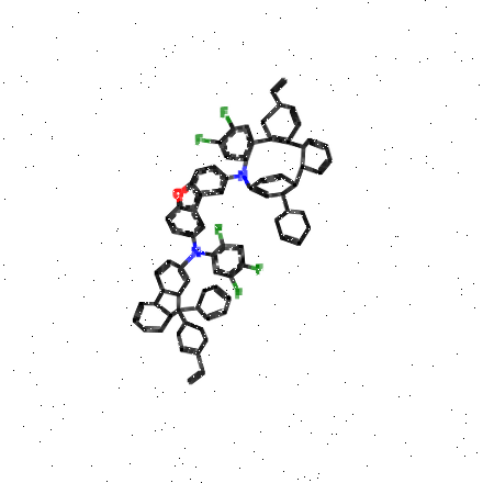 C=CC1=CCC(C2(C3C=CC=CC3)C3C=CC=CC3C3C=CC(N(c4ccc5oc6ccc(N7C8=CC(C9CC=CCC9)C(C=C8)C8C=CC=CC8C8=C(CC(C=C)C=C8)c8cc(F)c(F)cc87)cc6c5c4)c4cc(F)c(F)cc4F)=CC32)CC1